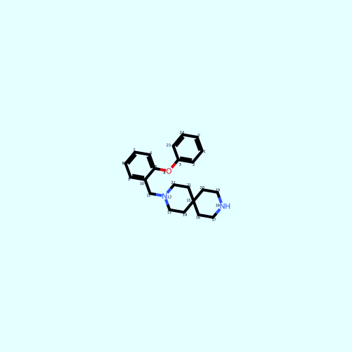 c1ccc(Oc2ccccc2CN2CCC3(CCNCC3)CC2)cc1